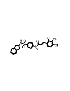 CN(C(=O)C=Cc1ccc(O)c(O)c1Cl)c1ccc(S(=O)(=O)NC2Cc3ccccc3C2)cc1